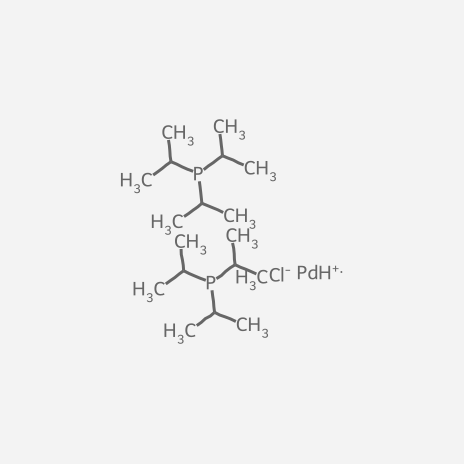 CC(C)P(C(C)C)C(C)C.CC(C)P(C(C)C)C(C)C.[Cl-].[PdH+]